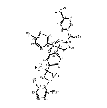 CN(C)c1ccc(C(=O)N2CCC(c3ccc(C(OCc4c(F)cccc4F)(C(F)(F)F)C(F)(F)F)cc3)(S(=O)(=O)c3ccc(F)cc3)C2)cc1